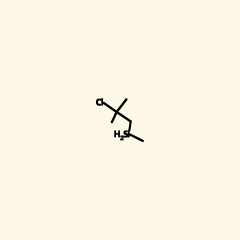 C[SiH2]CC(C)(C)Cl